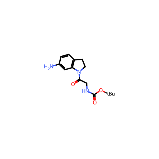 CC(C)(C)OC(=O)NCC(=O)N1CCc2ccc(N)cc21